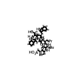 CC[C@H](C)[C@H](NC(=O)[C@H](CC(C)C)NC(=O)[C@H](Cc1c[nH]c2ccccc12)NC(=O)[C@H](Cc1c[nH]c2ccccc12)NC(=O)[C@@H](N)[C@@H](C)O)C(=O)N[C@@H](CC(C)C)C(=O)NCC(=O)O